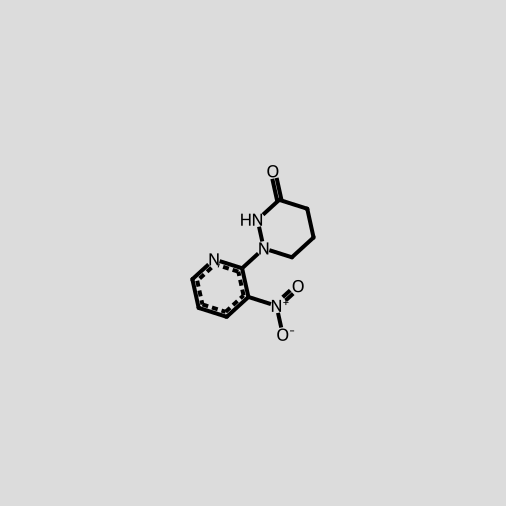 O=C1CCCN(c2ncccc2[N+](=O)[O-])N1